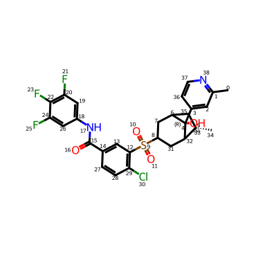 Cc1cc([C@@]2(O)C3CC(S(=O)(=O)c4cc(C(=O)Nc5cc(F)c(F)c(F)c5)ccc4Cl)CC2[C@@H](C)C3)ccn1